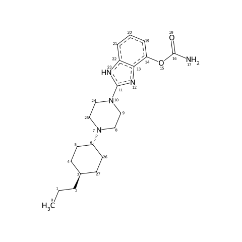 CCC[C@H]1CC[C@H](N2CCN(c3nc4c(OC(N)=O)cccc4[nH]3)CC2)CC1